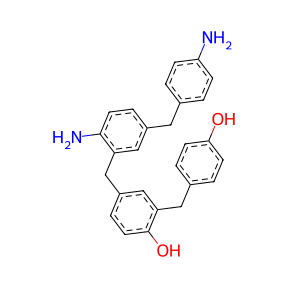 Nc1ccc(Cc2ccc(N)c(Cc3ccc(O)c(Cc4ccc(O)cc4)c3)c2)cc1